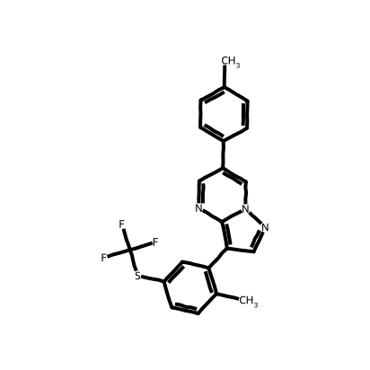 Cc1ccc(-c2cnc3c(-c4cc(SC(F)(F)F)ccc4C)cnn3c2)cc1